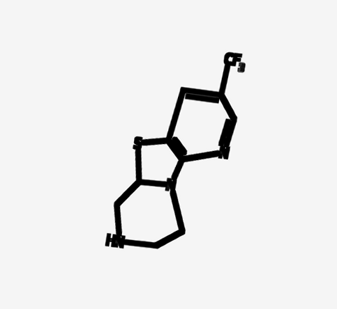 FC(F)(F)c1cnc2c(c1)SC1CNCCN21